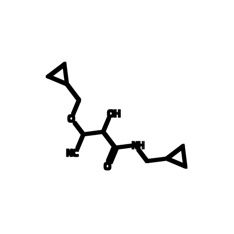 N#CC(OCC1CC1)C(O)C(=O)NCC1CC1